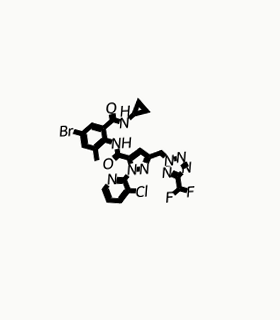 Cc1cc(Br)cc(C(=O)NC2CC2)c1NC(=O)c1cc(Cn2nnc(C(F)F)n2)nn1-c1ncccc1Cl